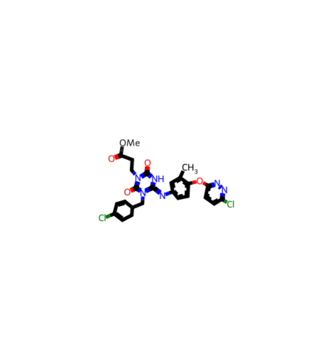 COC(=O)CCn1c(=O)[nH]/c(=N\c2ccc(Oc3ccc(Cl)nn3)c(C)c2)n(CC2C=CC(Cl)=CC2)c1=O